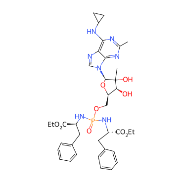 CCOC(=O)[C@H](Cc1ccccc1)NP(=O)(N[C@@H](Cc1ccccc1)C(=O)OCC)OC[C@H]1O[C@@H](n2cnc3c(NC4CC4)nc(C)nc32)C(C)(O)[C@H]1O